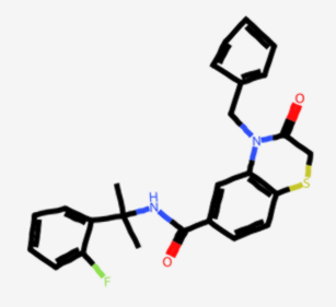 CC(C)(NC(=O)c1ccc2c(c1)N(Cc1ccccc1)C(=O)CS2)c1ccccc1F